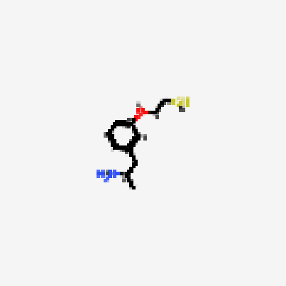 CC(N)Cc1cccc(OCCS)c1